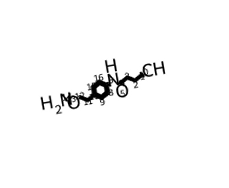 C#CCCC(=O)Nc1ccc(CCON)cc1